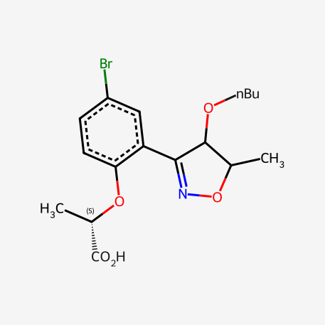 CCCCOC1C(c2cc(Br)ccc2O[C@@H](C)C(=O)O)=NOC1C